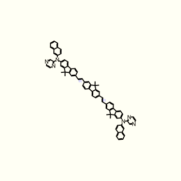 CC1(C)c2cc(/C=C/c3ccc4c(c3)C(C)(C)c3cc(N(c5ccc6ccccc6c5)c5cnccn5)ccc3-4)ccc2-c2ccc(/C=C/c3ccc4c(c3)C(C)(C)c3cc(N(c5ccc6ccccc6c5)c5cnccn5)ccc3-4)cc21